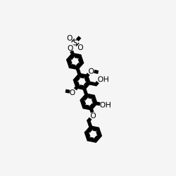 COc1cc(-c2ccc(OS(C)(=O)=O)cc2)c(OC)c(CO)c1-c1ccc(OCc2ccccc2)c(O)c1